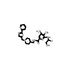 CCC(CO)Nc1nc(C(=O)NCC2CCN(Cc3cnc(-c4ccccn4)s3)CC2)cc(N)c1C#N